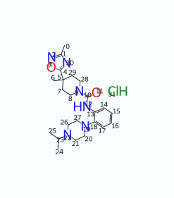 Cc1noc(C2(C)CCN(C(=O)Nc3ccccc3N3CCN(C(C)C)CC3)CC2)n1.Cl